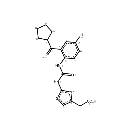 O=C(O)Cc1csc(NC(=O)Nc2ccc(Cl)cc2C(=O)C2CCCC2)n1